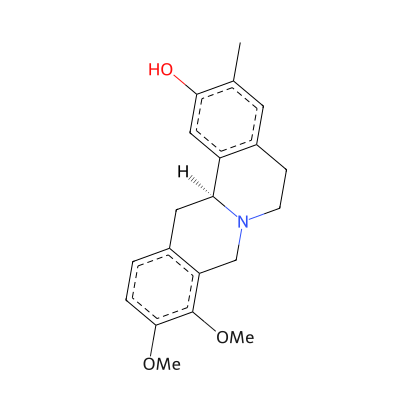 COc1ccc2c(c1OC)CN1CCc3cc(C)c(O)cc3[C@@H]1C2